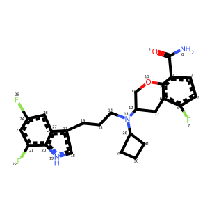 NC(=O)c1ccc(F)c2c1OCC(N(CCCc1c[nH]c3c(F)cc(F)cc13)C1CCC1)C2